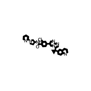 O=C(NC1CCN(c2ccccn2)C1)c1ccc(-c2cnc3ncc(C4(c5ccc6ncccc6c5)CC4)n3c2)cc1Cl